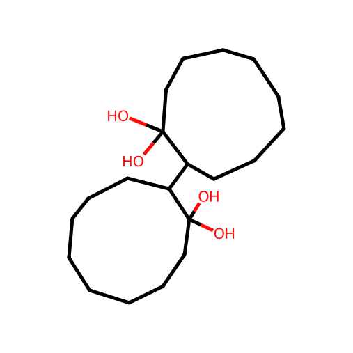 OC1(O)CCCCCCCCC1C1CCCCCCCCC1(O)O